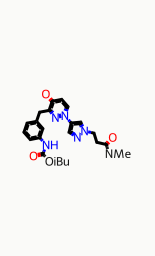 CNC(=O)CCn1cc(-n2ccc(=O)c(Cc3cccc(NC(=O)OCC(C)C)c3)n2)cn1